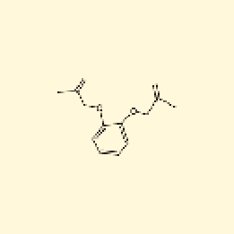 C=C(C)COc1ccccc1OCC(=C)C